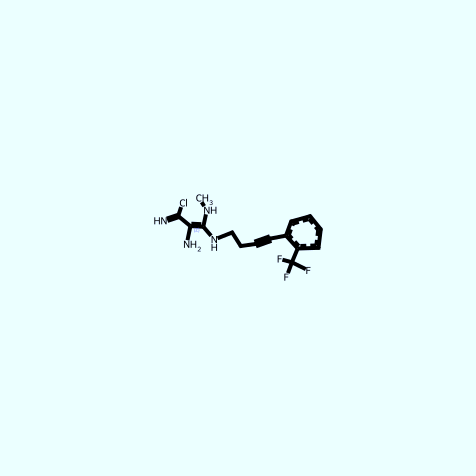 CN/C(NCCC#Cc1ccccc1C(F)(F)F)=C(/N)C(=N)Cl